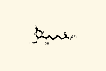 COC(=O)CCCC[C@H](O)[C@@H]1NC(=O)N[C@H]1CO